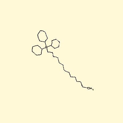 CCCCCCCCCCCCCC[N+](C1CCCCC1)(C1CCCCC1)C1CCCCC1